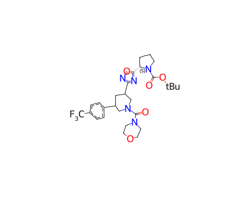 CC(C)(C)OC(=O)N1CCC[C@H]1c1nc(C2CC(c3ccc(C(F)(F)F)cc3)CN(C(=O)N3CCOCC3)C2)no1